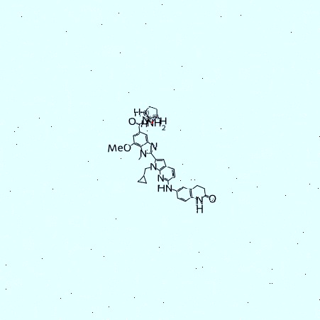 COc1cc(C(=O)N2C[C@H]3CC[C@@H]2[C@@H]3N)cc2nc(-c3cc4ccc(Nc5ccc6c(c5)CCC(=O)N6)nc4n3CC3CC3)n(C)c12